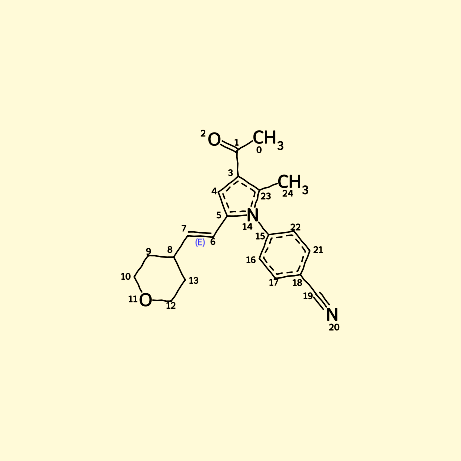 CC(=O)c1cc(/C=C/C2CCOCC2)n(-c2ccc(C#N)cc2)c1C